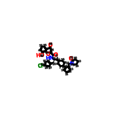 O=C(N[C@H](C=C1CCC(c2ccccc2CN2CCCCC2=O)CC1)Cc1ccc(Cl)cc1)c1cc(=O)c2cccc(O)c2o1